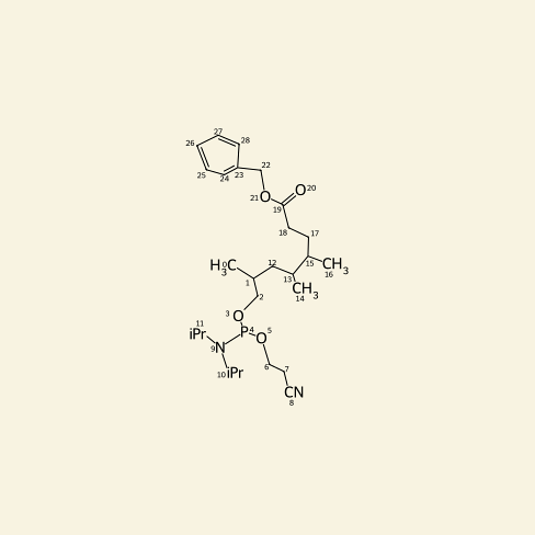 CC(COP(OCCC#N)N(C(C)C)C(C)C)CC(C)C(C)CCC(=O)OCc1ccccc1